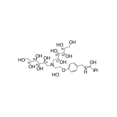 CC(C)C(O)=[SH]Cc1ccc(OCCN(C[C@H](O)[C@@H](O)[C@H](O)[C@H](O)CO)C[C@H](O)[C@@H](O)[C@H](O)[C@H](O)CO)cc1.Cl